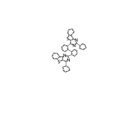 c1ccc(-c2nc(-c3ccccc3-c3ccccc3-c3nc(-c4ccccc4)c4sc5ccccc5c4n3)c3sc4ccccc4c3n2)cc1